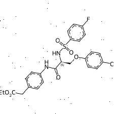 CCOC(=O)Cc1ccc(NC(=O)[C@H](COc2ccc(Cl)cc2)NS(=O)(=O)c2ccc(F)cc2)cc1